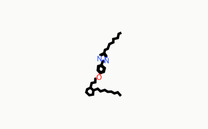 CCCCCCCCc1cnc(-c2ccc(OCCCC3CCCCC3CCCCCCCC)cc2)nc1